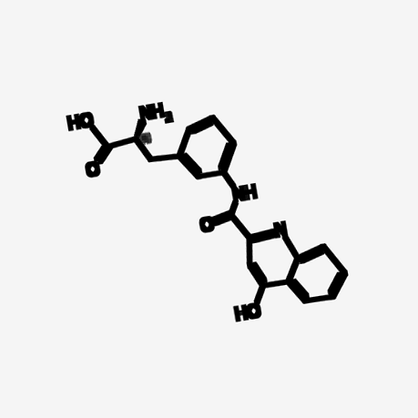 N[C@@H](Cc1cccc(NC(=O)c2cc(O)c3ccccc3n2)c1)C(=O)O